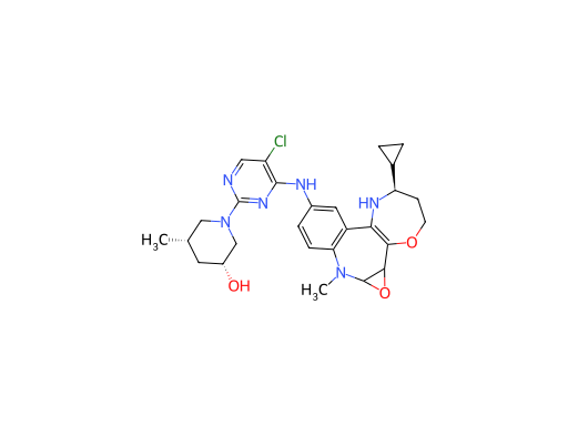 C[C@H]1C[C@@H](O)CN(c2ncc(Cl)c(Nc3ccc4c(c3)C3=C(OCC[C@H](C5CC5)N3)C3OC3N4C)n2)C1